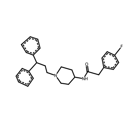 O=C(Cc1ccc(F)cc1)NC1CCN(CCC(c2ccccc2)c2ccccc2)CC1